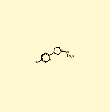 O=C(O)N[C@@H]1CCN(c2ccc(Br)cn2)C1